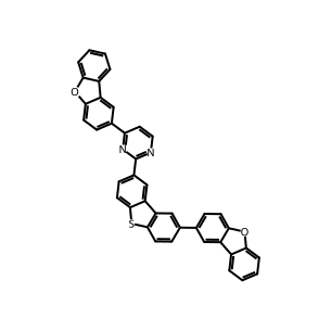 c1ccc2c(c1)oc1ccc(-c3ccc4sc5ccc(-c6nccc(-c7ccc8oc9ccccc9c8c7)n6)cc5c4c3)cc12